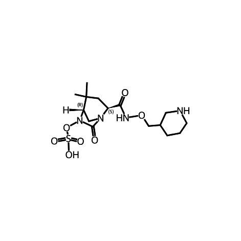 CC1(C)C[C@@H](C(=O)NOCC2CCCNC2)N2C[C@@H]1N(OS(=O)(=O)O)C2=O